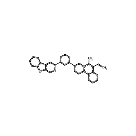 C=Cc1c(C)c2cc(-c3cccc(-c4cc5c(cn4)sc4ccccc45)c3)ccc2c2ccccc12